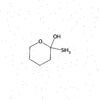 OC1([SiH3])CCCCO1